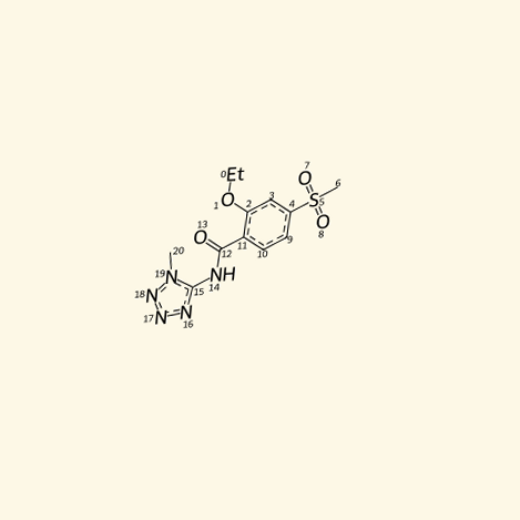 CCOc1cc(S(C)(=O)=O)ccc1C(=O)Nc1nnnn1C